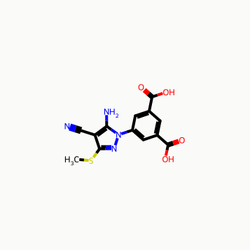 CSc1nn(-c2cc(C(=O)O)cc(C(=O)O)c2)c(N)c1C#N